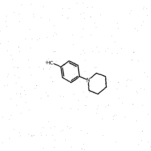 [CH]c1ccc(N2CCCCC2)cc1